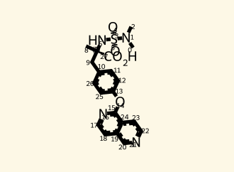 CN(C)S(=O)(=O)N[C@@](C)(Cc1ccc(Oc2nccc3cnccc23)cc1)C(=O)O